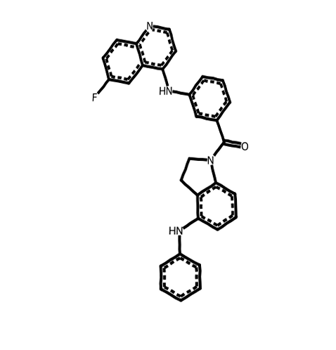 O=C(c1cccc(Nc2ccnc3ccc(F)cc23)c1)N1CCc2c(Nc3ccccc3)cccc21